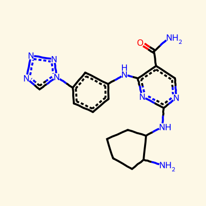 NC(=O)c1cnc(NC2CCCCC2N)nc1Nc1cccc(-n2cnnn2)c1